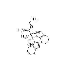 CCOC(=[SiH2])[C](C)(C)[Ti]([CH2]C)([CH]1C=CC2=C1CCCC2)[CH]1C=CC2=C1CCCC2